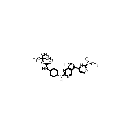 C[S+]([O-])c1nccc(-c2n[nH]c3nc(N[C@H]4CC[C@H](NC(=O)OC(C)(C)C)CC4)ncc23)n1